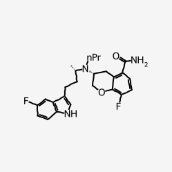 CCCN([C@H]1COc2c(F)ccc(C(N)=O)c2C1)[C@@H](C)CCc1c[nH]c2ccc(F)cc12